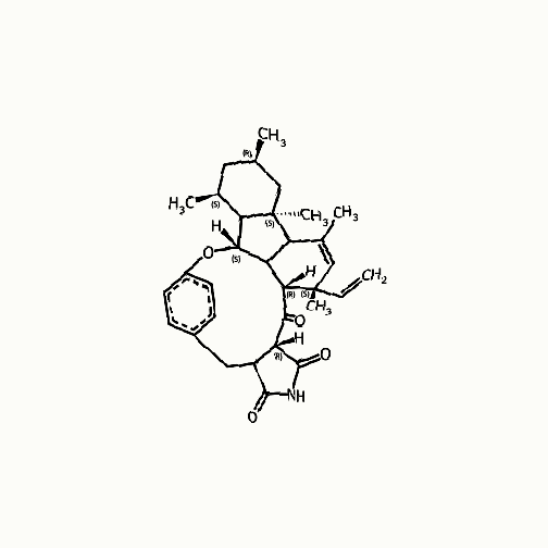 C=C[C@@]1(C)C=C(C)C2C3[C@H](Oc4ccc(cc4)CC4C(=O)NC(=O)[C@H]4C(=O)[C@H]31)C1[C@@H](C)C[C@@H](C)C[C@@]21C